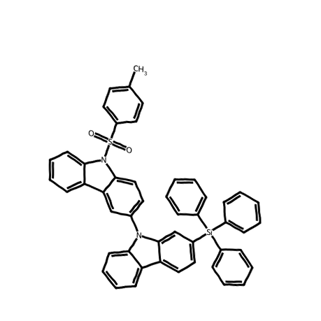 Cc1ccc(S(=O)(=O)n2c3ccccc3c3cc(-n4c5ccccc5c5ccc([Si](c6ccccc6)(c6ccccc6)c6ccccc6)cc54)ccc32)cc1